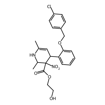 CC1=CC(c2ccccc2OCc2ccc(Cl)cc2)C(C(=O)OCCO)([N+](=O)[O-])C(C)N1